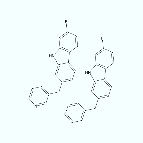 Fc1ccc2c(c1)[nH]c1cc(Cc3cccnc3)ccc12.Fc1ccc2c(c1)[nH]c1cc(Cc3ccncc3)ccc12